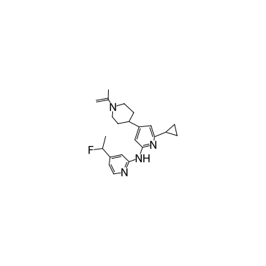 C=C(C)N1CCC(c2cc(Nc3cc(C(C)F)ccn3)nc(C3CC3)c2)CC1